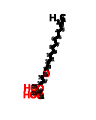 CCCCCCCCCCCCCCCOCCCOP(=O)(O)O